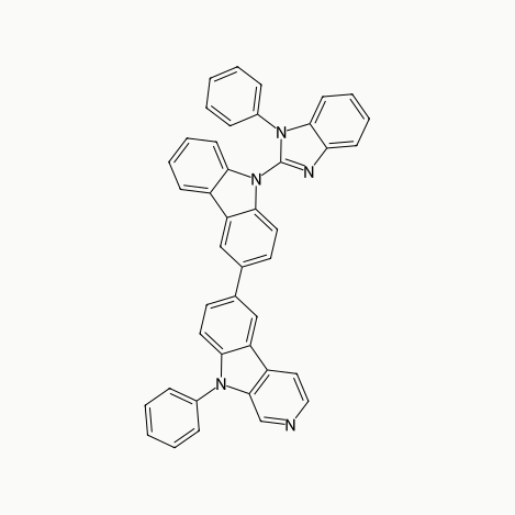 c1ccc(-n2c(-n3c4ccccc4c4cc(-c5ccc6c(c5)c5ccncc5n6-c5ccccc5)ccc43)nc3ccccc32)cc1